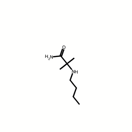 CCCCNC(C)(C)C(N)=O